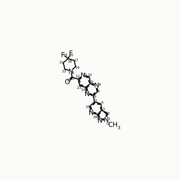 Cn1cc2cc(-c3cnc4cnc(C(=O)N5CCC(F)(F)CC5)cc4n3)cnc2n1